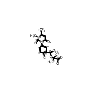 Cn1c(C(F)(F)F)cc(=O)n(-c2ccc(Cl)c(C(=O)OC(C)(C)C(=O)Cl)c2)c1=O